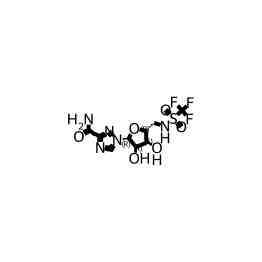 NC(=O)c1ncn([C@@H]2O[C@H](CNS(=O)(=O)C(F)(F)F)[C@@H](O)[C@H]2O)n1